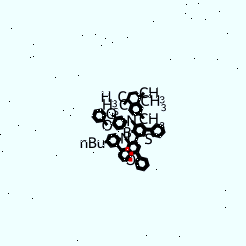 CCCCc1ccc(N2B3c4cc5c(cc4N(c4cc6c(cc4C)C(C)(C)CCC6(C)C)c4cc6c(sc7ccccc76)c(c43)-c3cc4c(cc32)oc2ccccc24)Oc2ccccc2O5)c(-c2ccccc2)c1